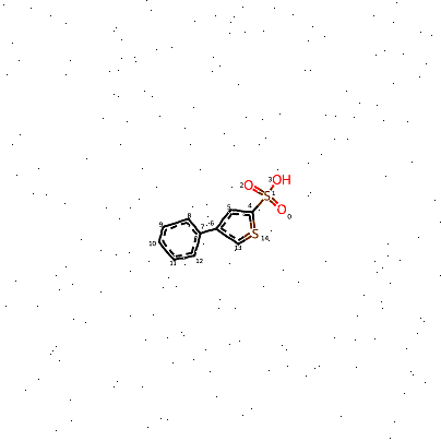 O=S(=O)(O)c1cc(-c2ccccc2)cs1